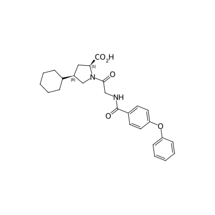 O=C(NCC(=O)N1C[C@@H](C2CCCCC2)C[C@H]1C(=O)O)c1ccc(Oc2ccccc2)cc1